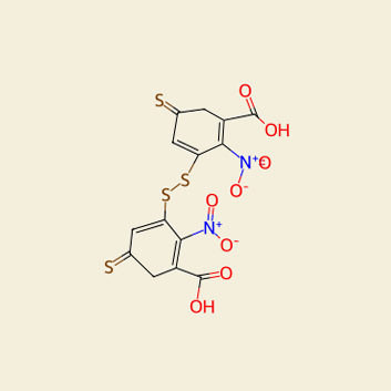 O=C(O)C1=C([N+](=O)[O-])C(SSC2=CC(=S)CC(C(=O)O)=C2[N+](=O)[O-])=CC(=S)C1